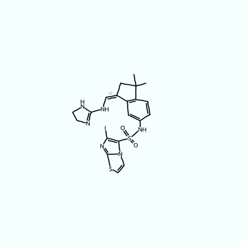 CC1(C)C/C(=C/NC2=NCCN2)c2cc(NS(=O)(=O)c3c(I)nc4sccn34)ccc21